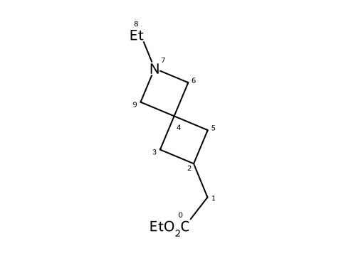 CCOC(=O)CC1CC2(C1)CN(CC)C2